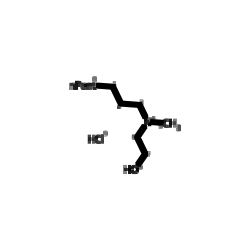 CCCCCCCCN(C)CCO.Cl